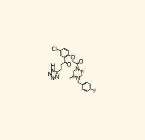 C[C@@H]1CN(Cc2ccc(F)cc2)[C@@H](C)CN1C(=O)COc1ccc(Cl)cc1C(=O)CCc1nnn[nH]1